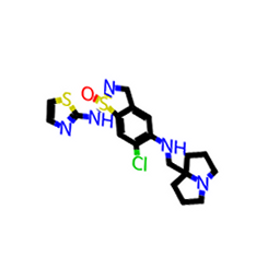 O=S1(Nc2nccs2)=NCc2cc(NCC34CCCN3CCC4)c(Cl)cc21